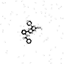 Nc1nc(N2CCOCC2)c2nc(-c3ccccc3NC(=O)C3CCCCC3)cnc2n1